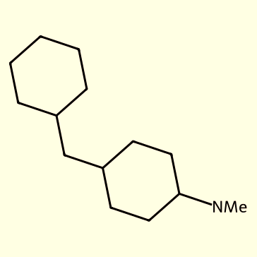 CNC1CCC(CC2CCCCC2)CC1